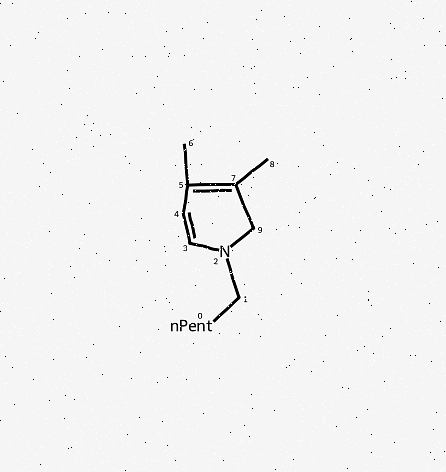 CCCCCCN1C=CC(C)=C(C)C1